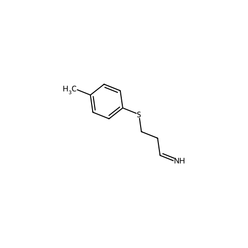 Cc1ccc(SCCC=N)cc1